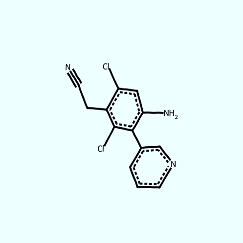 N#CCc1c(Cl)cc(N)c(-c2cccnc2)c1Cl